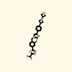 Fc1cc(-c2nnc(C(F)F)o2)ccc1Cn1cc(-c2ccc(C3CN(C4COC4)C3)cc2)nn1